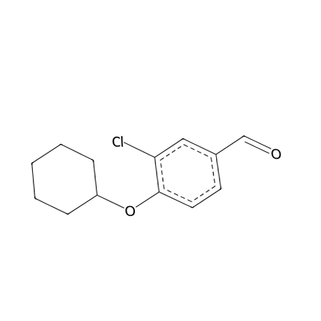 O=Cc1ccc(OC2CCCCC2)c(Cl)c1